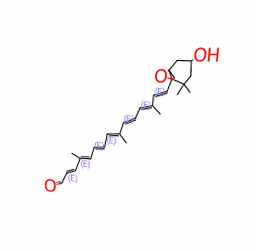 CC(/C=C/C=O)=C\C=C\C=C(C)\C=C\C=C(C)\C=C\C12OC1(C)CC(O)CC2(C)C